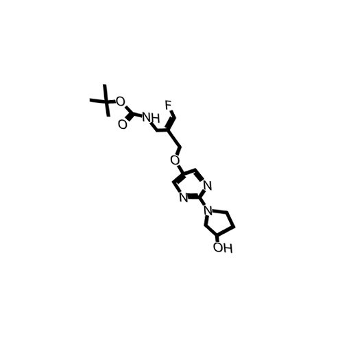 CC(C)(C)OC(=O)NC/C(=C\F)COc1cnc(N2CCC(O)C2)nc1